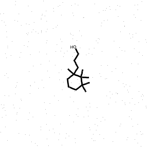 CC1(C)CCCC(C)(CCCO)C1(C)C